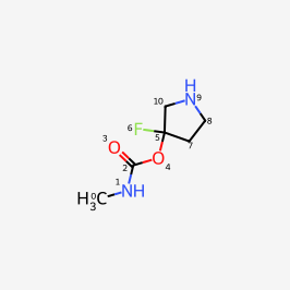 CNC(=O)OC1(F)CCNC1